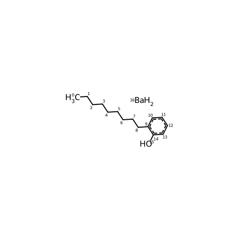 CCCCCCCCCc1ccccc1O.[BaH2]